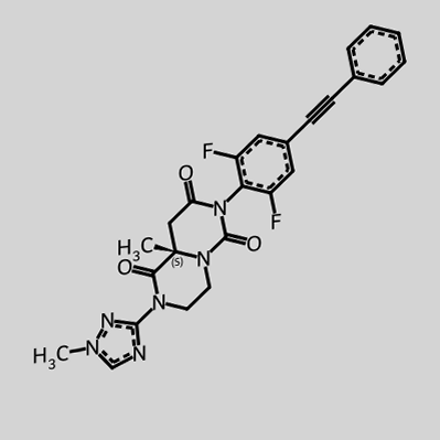 Cn1cnc(N2CCN3C(=O)N(c4c(F)cc(C#Cc5ccccc5)cc4F)C(=O)C[C@@]3(C)C2=O)n1